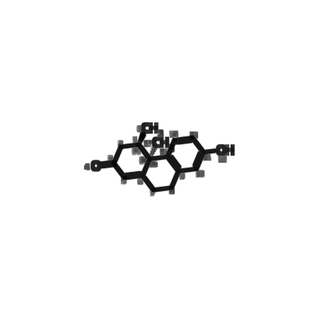 C[C@@H]1CC(=O)C=C2CCc3cc(O)ccc3[C@@]21C